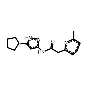 Cc1cccc(CC(=O)Nc2cc([C@H]3C[CH]CC3)[nH]n2)n1